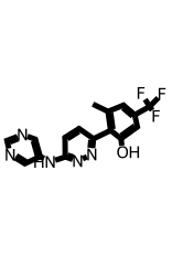 Cc1cc(C(F)(F)F)cc(O)c1-c1ccc(Nc2cncnc2)nn1